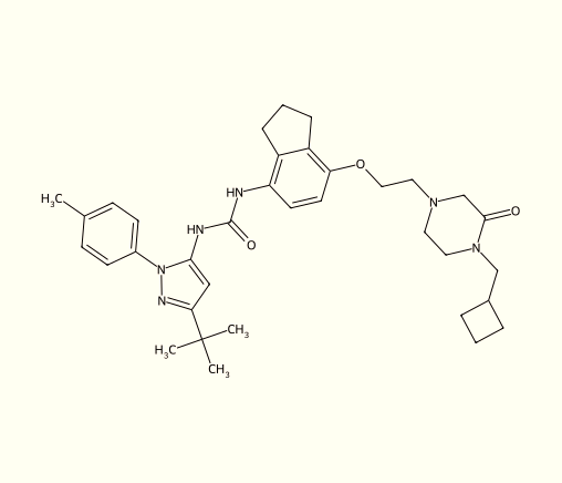 Cc1ccc(-n2nc(C(C)(C)C)cc2NC(=O)Nc2ccc(OCCN3CCN(CC4CCC4)C(=O)C3)c3c2CCC3)cc1